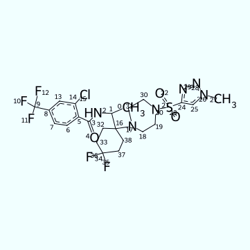 CC(NC(=O)c1ccc(C(F)(F)F)cc1Cl)C1(N2CCN(S(=O)(=O)c3cn(C)nn3)CC2)CCC(F)(F)CC1